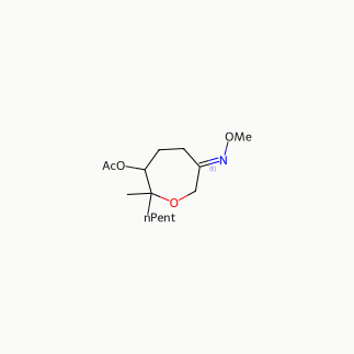 CCCCCC1(C)OC/C(=N/OC)CCC1OC(C)=O